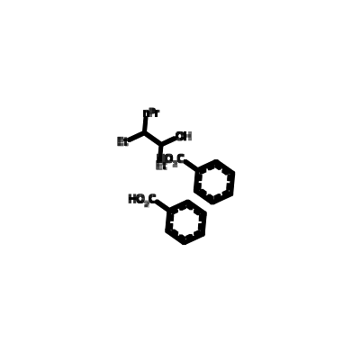 CCCC(CC)C(O)CC.O=C(O)c1ccccc1.O=C(O)c1ccccc1